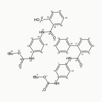 CC(C)(C)OC(=O)Nc1ccc(NC(=O)c2ccccc2-c2ccccc2)cc1.CC(C)(C)OC(=O)Nc1ccc(NC(=O)c2ccccc2C(=O)O)cc1